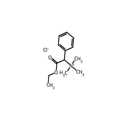 CCOC(=O)C(c1ccccc1)[N+](C)(C)C.[Cl-]